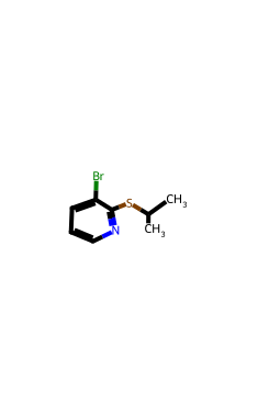 CC(C)Sc1ncccc1Br